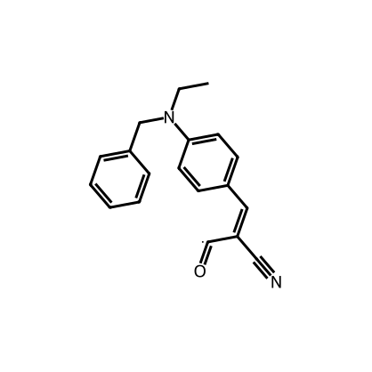 CCN(Cc1ccccc1)c1ccc(C=C([C]=O)C#N)cc1